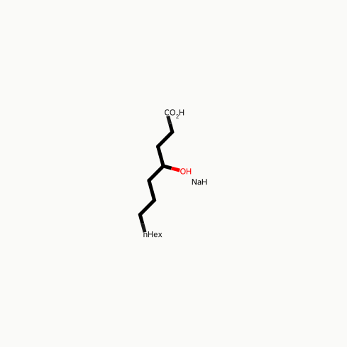 CCCCCCCCCC(O)CCC(=O)O.[NaH]